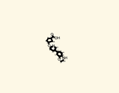 O=C(O)C1CCC(Oc2ccc(-c3ccc4c(c3)OCCN4)cn2)C1